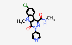 CNC(=O)c1nn(-c2ccncc2)c(=O)c2c1c1ccc(Cl)cc1n2C